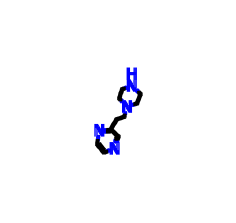 c1cnc(CCN2CCNCC2)cn1